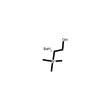 C[N+](C)(C)CCO.[BaH2]